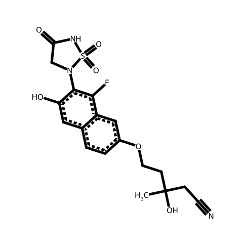 CC(O)(CC#N)CCOc1ccc2cc(O)c(N3CC(=O)NS3(=O)=O)c(F)c2c1